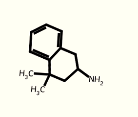 CC1(C)CC(N)Cc2ccccc21